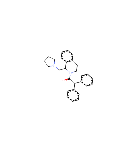 O=C(C(c1ccccc1)c1ccccc1)N1CCc2ccccc2C1CN1CCCC1